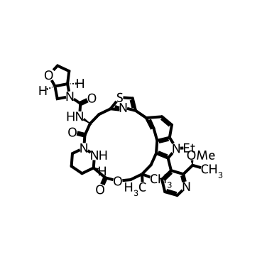 CCn1c(-c2cccnc2[C@H](C)OC)c2c3cc(ccc31)-c1csc(n1)C[C@H](NC(=O)N1C[C@H]3OCC[C@H]31)C(=O)N1CCC[C@H](N1)C(=O)OCC(C)(C)C2